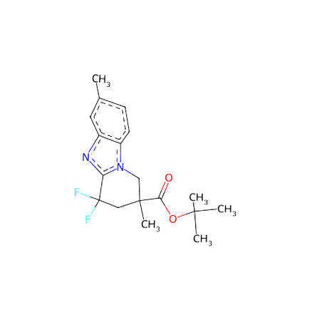 Cc1ccc2c(c1)nc1n2CC(C)(C(=O)OC(C)(C)C)CC1(F)F